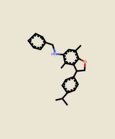 Cc1cc(NCc2ccccc2)c(C)c2c1OCC2c1ccc(C(C)C)cc1